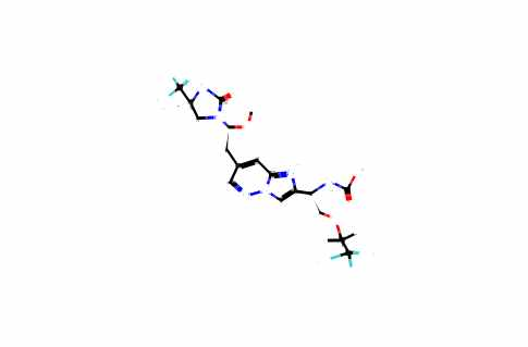 CO[C@@H](Cc1cnn2cc([C@H](COC(C)(C)C(F)(F)F)NC(=O)O)nc2c1)N1C[C@@](C)(C(F)(F)F)NC1=O